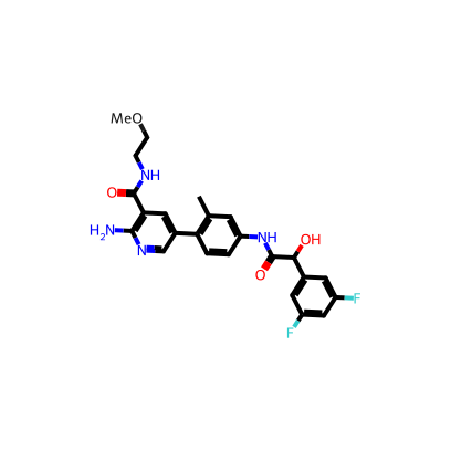 COCCNC(=O)c1cc(-c2ccc(NC(=O)C(O)c3cc(F)cc(F)c3)cc2C)cnc1N